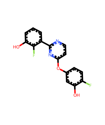 Oc1cc(Oc2ccnc(-c3cccc(O)c3F)n2)ccc1F